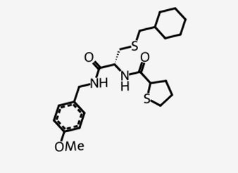 COc1ccc(CNC(=O)[C@H](CSCC2CCCCC2)NC(=O)C2CCCS2)cc1